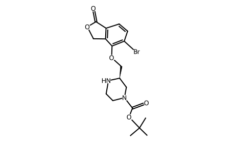 CC(C)(C)OC(=O)N1CCN[C@@H](COc2c(Br)ccc3c2COC3=O)C1